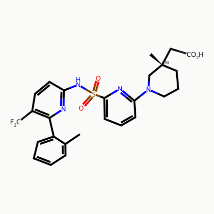 Cc1ccccc1-c1nc(NS(=O)(=O)c2cccc(N3CCC[C@@](C)(CC(=O)O)C3)n2)ccc1C(F)(F)F